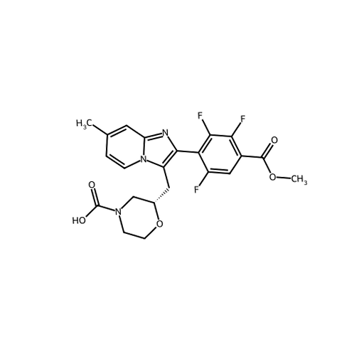 COC(=O)c1cc(F)c(-c2nc3cc(C)ccn3c2C[C@H]2CN(C(=O)O)CCO2)c(F)c1F